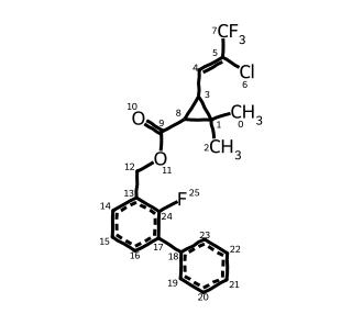 CC1(C)C(/C=C(\Cl)C(F)(F)F)C1C(=O)OCc1cccc(-c2ccccc2)c1F